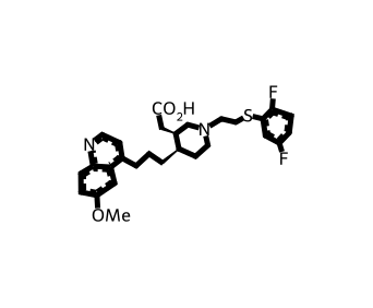 COc1ccc2nccc(CCC[C@@H]3CCN(CCSc4cc(F)ccc4F)C[C@@H]3CC(=O)O)c2c1